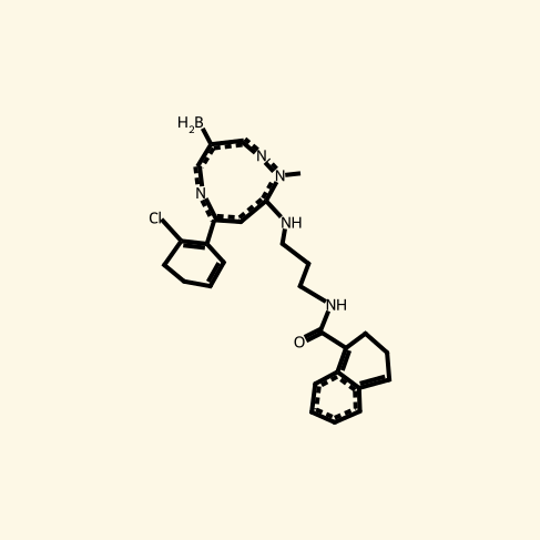 Bc1cnc(C2=C(Cl)CCC=C2)cc(NCCCNC(=O)C2=c3ccccc3=CCC2)n(C)nc1